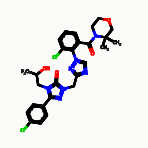 CC1(C)COCCN1C(=O)c1cccc(Cl)c1-n1cnc(Cn2nc(-c3ccc(Cl)cc3)n(CC(O)C(F)(F)F)c2=O)n1